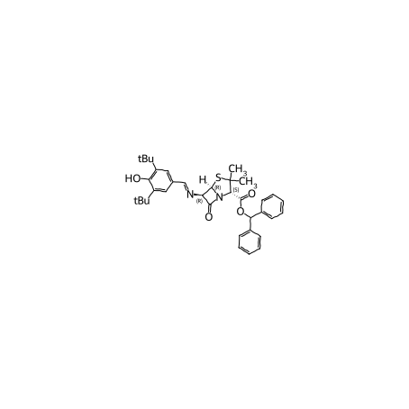 CC(C)(C)c1cc(C=N[C@@H]2C(=O)N3[C@@H]2SC(C)(C)[C@@H]3C(=O)OC(c2ccccc2)c2ccccc2)cc(C(C)(C)C)c1O